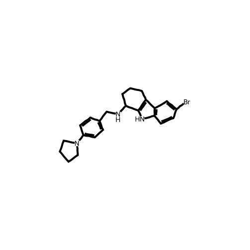 Brc1ccc2[nH]c3c(c2c1)CCCC3NCc1ccc(N2CCCC2)cc1